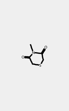 CN1C(=O)CSCC1=O